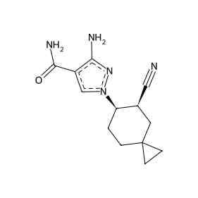 N#C[C@H]1CC2(CC[C@H]1n1cc(C(N)=O)c(N)n1)CC2